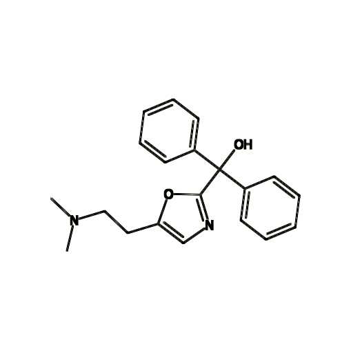 CN(C)CCc1cnc(C(O)(c2ccccc2)c2ccccc2)o1